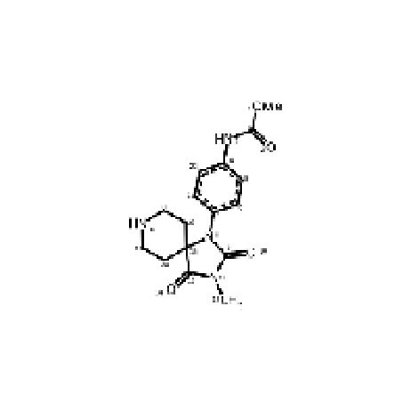 COC(=O)Nc1ccc(N2C(=O)N(C)C(=O)C23CCNCC3)cc1